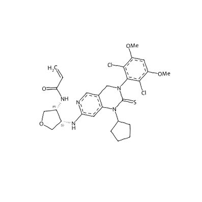 C=CC(=O)N[C@H]1COC[C@H]1Nc1cc2c(cn1)CN(c1c(Cl)c(OC)cc(OC)c1Cl)C(=S)N2C1CCCC1